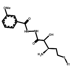 CCSCC[C@@H](N)C(O)C(=O)NNC(=O)c1cccc(OC)c1